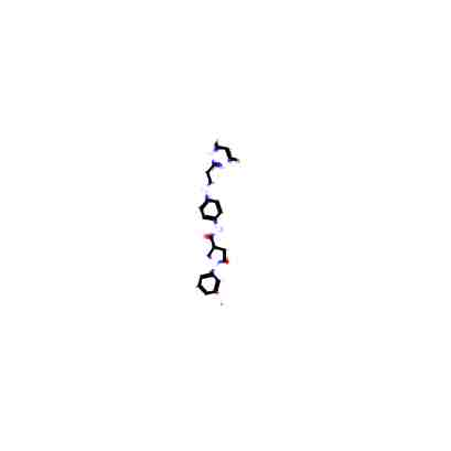 COc1cccc(N2CC(C(=O)Nc3ccc(NCCc4nc(C)cc(C)n4)cc3)CC2=O)c1